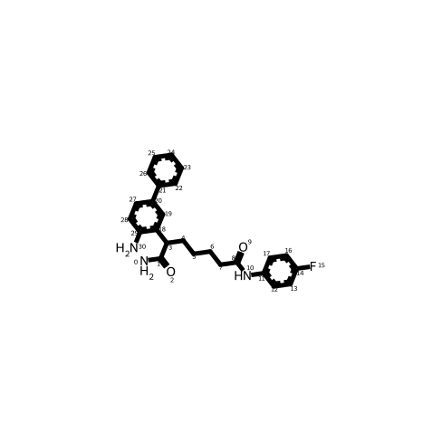 NC(=O)C(CCCCC(=O)Nc1ccc(F)cc1)c1cc(-c2ccccc2)ccc1N